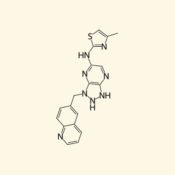 Cc1csc(Nc2cnc3c(n2)N(Cc2ccc4ncccc4c2)NN3)n1